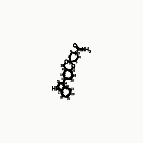 NC(=O)N1CCC2(CC1)OCc1cc(-c3c[nH]c4ccccc34)ccc1O2